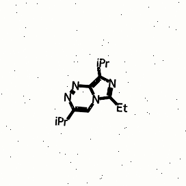 CCc1nc(C(C)C)c2nnc(C(C)C)cn12